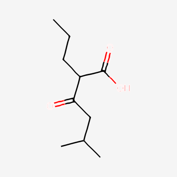 CCCC(C(=O)O)C(=O)CC(C)C